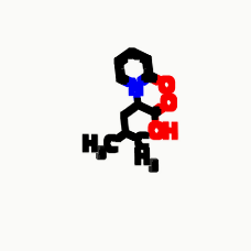 CC(C)CC(C(=O)O)n1ccccc1=O